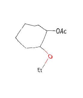 CCOC1CCCCC1OC(C)=O